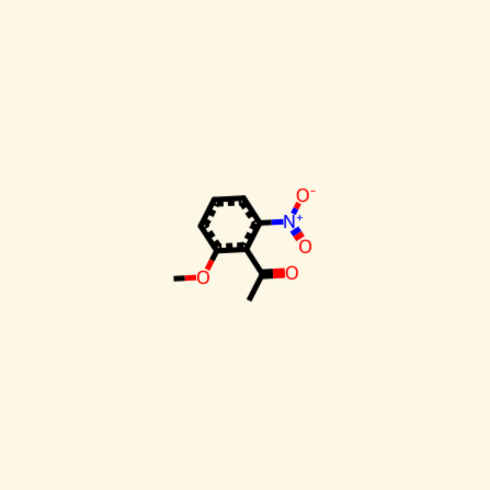 COc1cccc([N+](=O)[O-])c1C(C)=O